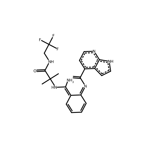 C=C(/N=C1/C=CC=C/C1=C(/N)NC(C)(C)C(=O)NCC(F)(F)F)c1ccnc2[nH]ccc12